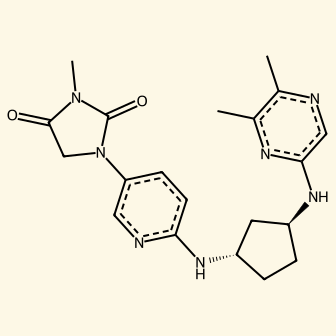 Cc1ncc(N[C@H]2CC[C@H](Nc3ccc(N4CC(=O)N(C)C4=O)cn3)C2)nc1C